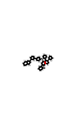 c1ccc(-c2ccccc2-c2ccccc2N(c2ccc(-c3cccc(-c4ccc5ccccc5c4)c3)cc2)c2ccc3sc4ccccc4c3c2)cc1